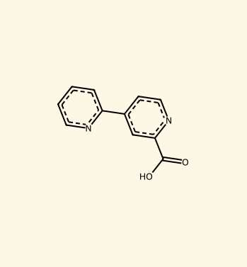 O=C(O)c1cc(-c2ccccn2)ccn1